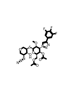 CO[C@@H]1[C@H](n2cc(-c3cc(F)c(F)c(F)c3)nn2)[C@@H](OC(C)=O)[C@@H](COC(C)=O)O[C@H]1S[C@@H]1COC[C@H](N=[N+]=[N-])[C@H]1O